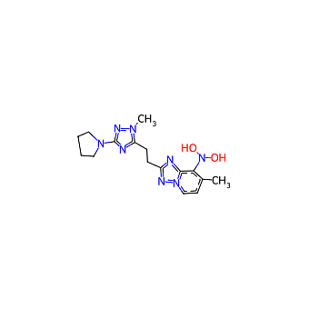 Cc1ccn2nc(CCc3nc(N4CCCC4)nn3C)nc2c1N(O)O